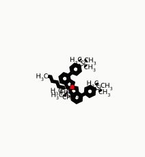 CCCCC[CH2][Hf]([CH3])([CH3])([CH3])(=[SiH2])([CH]1C=Cc2c(-c3ccc([Si](C)(C)C)cc3)cccc21)[CH]1C=Cc2c(-c3ccc([Si](C)(C)C)cc3)cccc21